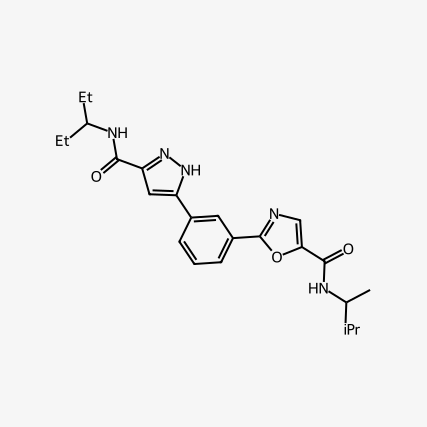 CCC(CC)NC(=O)c1cc(-c2cccc(-c3ncc(C(=O)NC(C)C(C)C)o3)c2)[nH]n1